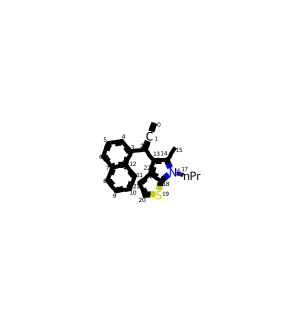 C=C=C(c1cccc2ccccc12)c1c(C)n(CCC)c2sccc12